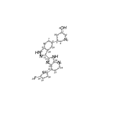 Oc1cncc(-c2ccc3[nH]nc(-c4nc5c(-c6ccc(F)s6)ccnc5[nH]4)c3c2)c1